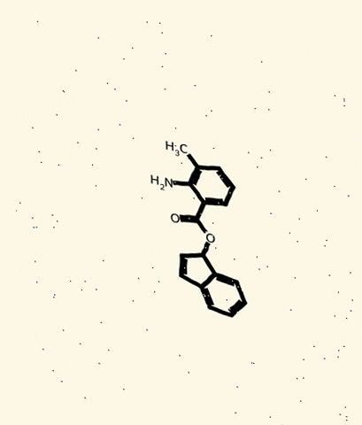 Cc1cccc(C(=O)OC2C=Cc3ccccc32)c1N